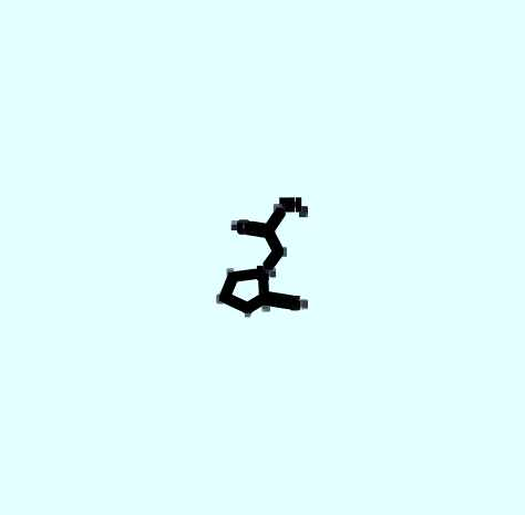 NC(=O)CN1CCCC1=S